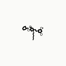 CCCCCCn1cc(OCc2ccccc2)c(=O)cc1C=Cc1cc(OC)cc(OC)c1